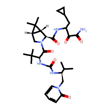 CC(C)[C@@H](Cn1ccccc1=O)NC(=O)N[C@H](C(=O)N1C[C@H]2[C@@H]([C@H]1C(=O)NC(CC1CC1)C(=O)C(N)=O)C2(C)C)C(C)(C)C